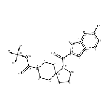 Cc1ccc2cc(C(=O)N3CCCC34CCN(C(=O)OC(C)(C)C)CC4)sc2c1